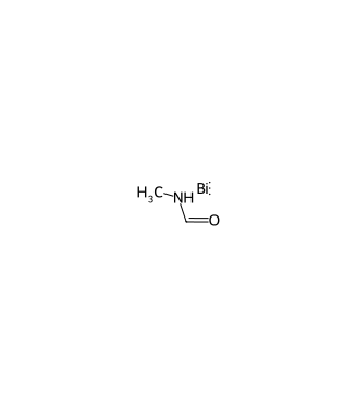 CNC=O.[Bi]